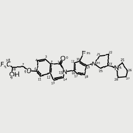 O=c1c2ccc(OCC(O)C(F)(F)F)cc2ccn1-c1ccc(N2CC[C@@H](N3CCCC3)C2)c(F)c1